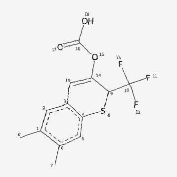 Cc1cc2c(cc1C)SC(C(F)(F)F)C(OC(=O)O)=C2